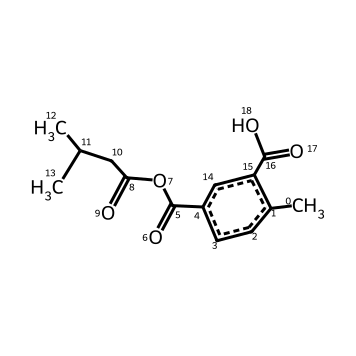 Cc1ccc(C(=O)OC(=O)CC(C)C)cc1C(=O)O